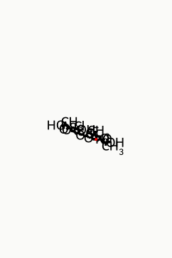 COc1c(OCCCOc2cc3cc(C(=O)CC(C)C(=O)O)sc3c(Cl)c2O)cc2c(c1F)CN(C(=O)CC(C)C(=O)O)C2